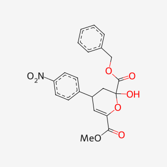 COC(=O)C1=CC(c2ccc([N+](=O)[O-])cc2)CC(O)(C(=O)OCc2ccccc2)O1